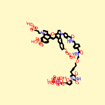 O=C(NCCOCCC#CCc1cn([C@H]2CC[C@@H](COP(OO)(OOO)(P(=O)=O)P(=O)=O)O2)c(=O)[nH]c1=O)c1ccc(CNC(=O)c2ccc(N3CCc4c5c(c6cc7ccc(SOOO)cc7cc6c43)C=c3c(c4c(c6cc(S(=O)(=O)O)ccc36)=[N+](CCCS(=O)(=O)O)CC4)O5)cc2)cc1